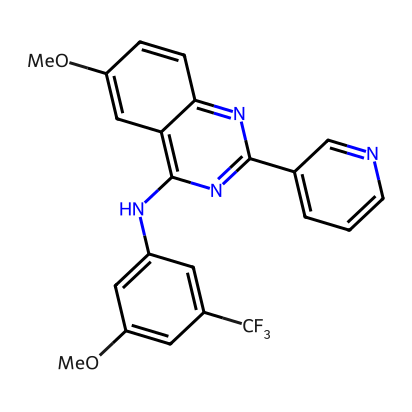 COc1cc(Nc2nc(-c3cccnc3)nc3ccc(OC)cc23)cc(C(F)(F)F)c1